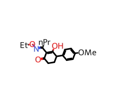 CCCC(=NOCC)C1=C(O)C(c2ccc(OC)cc2)CCC1=O